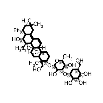 CC[C@@H]1CC(C)(C)CC2=C3C=C[C@H]4[C@@](C)(CCC5[C@]4(C)CC[C@H](O[C@@H]4O[C@H](C)[C@@H](O)[C@H](O[C@H]6C[C@@H](CO)[C@H](O)[C@@H](O)[C@H]6O)[C@H]4O)[C@@]5(C)CO)C3[C@@H](C)[C@@H](O)C21